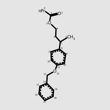 CCCC(=O)OCCC(C)c1ccc(OCc2ccccc2)cc1